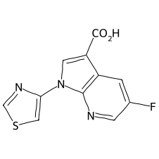 O=C(O)c1cn(-c2cscn2)c2ncc(F)cc12